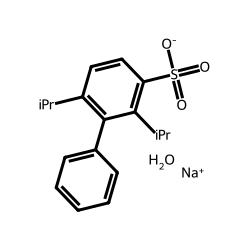 CC(C)c1ccc(S(=O)(=O)[O-])c(C(C)C)c1-c1ccccc1.O.[Na+]